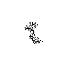 CNC(=O)c1cc2c(Oc3ccc(N(C(=O)C4(C(N)=O)CC4)c4cc(F)cs4)cc3)ccnc2cc1OC